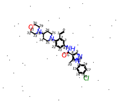 C=Cc1cc(NC(=O)c2cnn(-c3ccc(Cl)cc3)c2C)ccc1N1CCC(N2CCOCC2)CC1